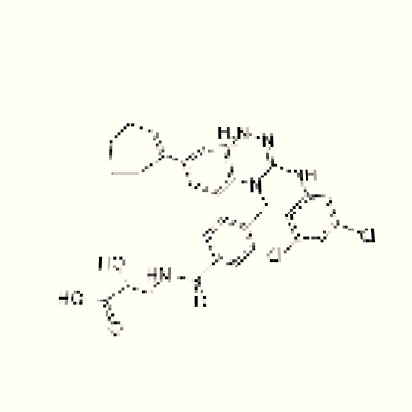 N/N=C(/Nc1cc(Cl)cc(Cl)c1)N(Cc1ccc(C(=O)NC[C@@H](O)C(=O)O)cc1)c1ccc(C2=CCCCC2)cc1